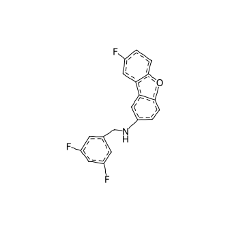 Fc1cc(F)cc(CNc2ccc3oc4ccc(F)cc4c3c2)c1